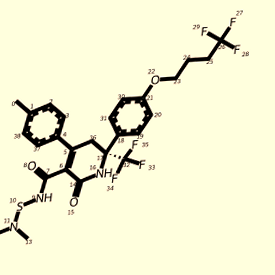 Cc1ccc(C2=C(C(=O)NSN(C)C)C(=O)N[C@@](c3ccc(OCCCC(F)(F)F)cc3)(C(F)(F)F)C2)cc1